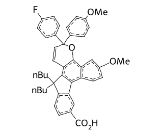 CCCCC1(CCCC)c2ccc(C(=O)O)cc2-c2c1c1c(c3cc(OC)ccc23)OC(c2ccc(F)cc2)(c2ccc(OC)cc2)C=C1